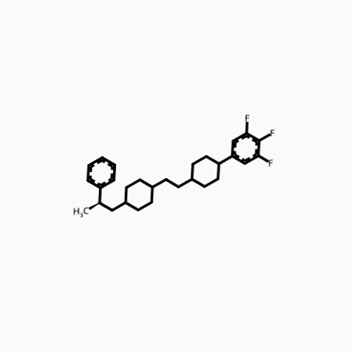 C[C@H](CC1CCC(CCC2CCC(c3cc(F)c(F)c(F)c3)CC2)CC1)c1ccccc1